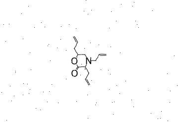 C=CC[C]1C(=O)OC(CC=C)CN1CC=C